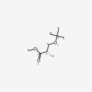 COC(=O)[C@@H](C)COC(C)(C)C